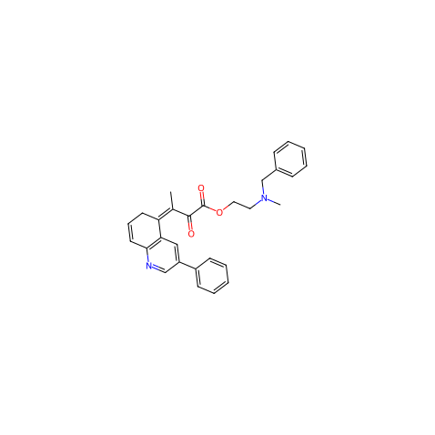 CC(C(=O)C(=O)OCCN(C)Cc1ccccc1)=C1CC=Cc2ncc(-c3ccccc3)cc21